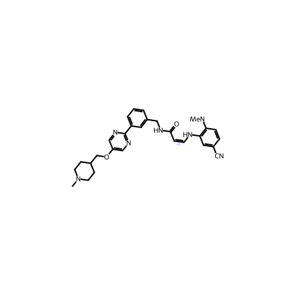 CNc1ccc(C#N)cc1N/C=C\C(=O)NCc1cccc(-c2ncc(OCC3CCN(C)CC3)cn2)c1